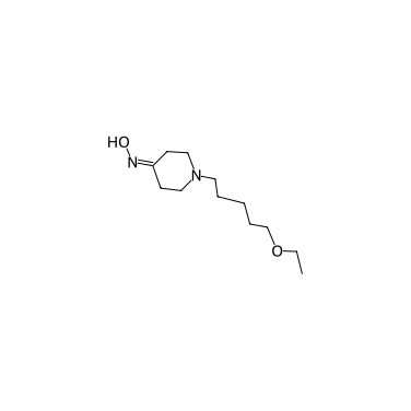 CCOCCCCCN1CCC(=NO)CC1